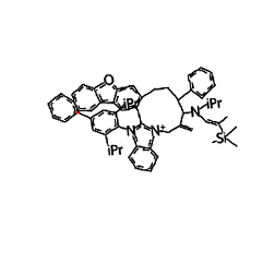 C=C1C[n+]2c(n(-c3c(C(C)C)cc(-c4ccccc4)cc3C(C)C)c3ccccc32)-c2cc3c(cc2CCC(c2ccccc2)C1N(/C=C(\C)[Si](C)(C)C)C(C)C)oc1ccccc13